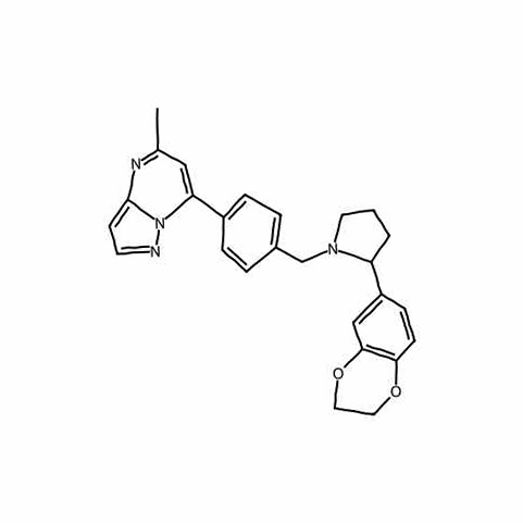 Cc1cc(-c2ccc(CN3CCCC3c3ccc4c(c3)OCCO4)cc2)n2nccc2n1